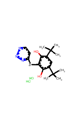 CC(C)(C)c1cc(C(C)(C)C)c(O)[c]([Zr][c]2ccnnn2)c1O.Cl.Cl